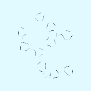 c1ccc(-c2cccc(-c3cc(-c4ccc5sc6ccc(-c7ccccc7)cc6c5c4)cc(-c4ccc5c(c4)c4cc(-c6ccccc6)ccc4n5-c4ccccc4)c3)c2)cc1